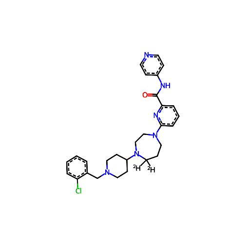 [2H]C1([2H])CCN(c2cccc(C(=O)Nc3ccncc3)n2)CCN1C1CCN(Cc2ccccc2Cl)CC1